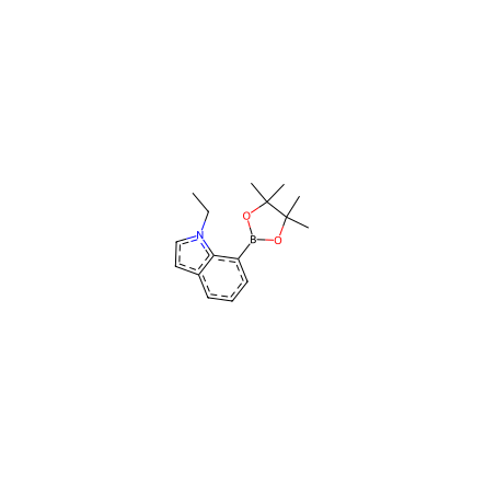 CCn1ccc2cccc(B3OC(C)(C)C(C)(C)O3)c21